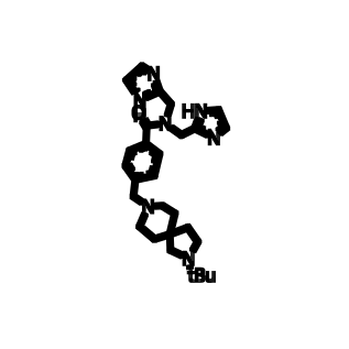 CC(C)(C)N1CCC2(CCN(Cc3ccc(C(=O)N(Cc4ncc[nH]4)Cc4ncc[nH]4)cc3)CC2)C1